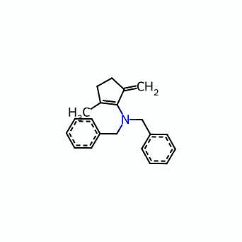 C=C1CCC(C)=C1N(Cc1ccccc1)Cc1ccccc1